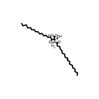 CCCCCCCCC=CCCCCCCCC(=O)N(P)[C@](CO)(C(=O)O)C(=O)CCCCCCCCCCCCCCC